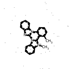 Cc1cccc2c1c1n(c3ccccc3[n+]1C)c1nc3ccccc3n21